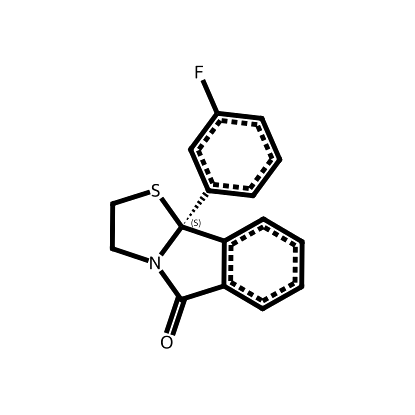 O=C1c2ccccc2[C@]2(c3cccc(F)c3)SCCN12